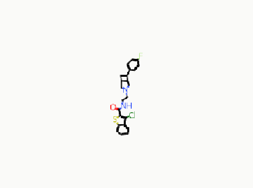 O=C(NCCN1CC2CC(c3ccc(F)cc3)C2C1)c1sc2ccccc2c1Cl